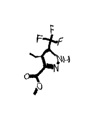 COC(=O)C1=NNC(C(F)(F)F)[C@@H]1C